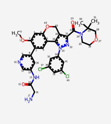 COc1cc2c(cc1-c1cncc(NC(=O)CN)c1)-c1c(c(C(=O)N3CCOCC3(C)C)nn1-c1cc(Cl)cc(Cl)c1)CO2